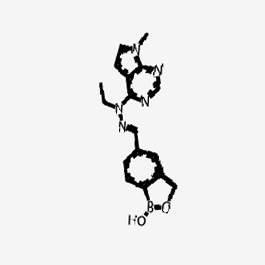 CCN(/N=C/c1ccc2c(c1)COB2O)c1ncnc2c1ccn2C